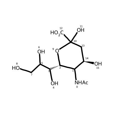 CC(=O)NC1[C@H](C(O)C(O)CO)OC(O)(C(=O)O)C[C@H]1O